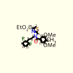 CCOC(=O)c1csc(CN(CCCc2c(F)cccc2F)C(=O)c2cc(OC)c(C)c(OC)c2)n1